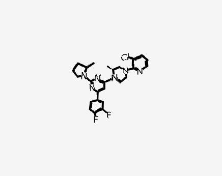 CC1CCCN1c1nc(-c2ccc(F)c(F)c2)cc(N2CCN(c3ncccc3Cl)C[C@@H]2C)n1